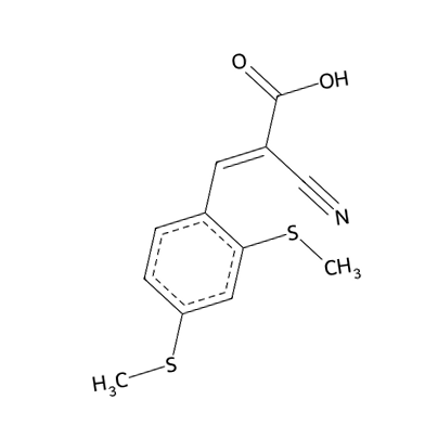 CSc1ccc(/C=C(\C#N)C(=O)O)c(SC)c1